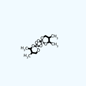 CC1COP(=O)(OP2(=O)OCC(C)C(C)O2)OC1C